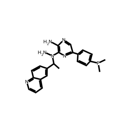 CC(c1ccc2ncccc2c1)N(N)c1nc(-c2ccc(P(C)C)cc2)cnc1N